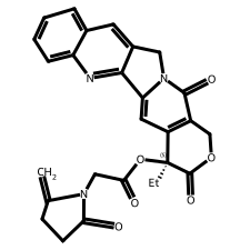 C=C1CCC(=O)N1CC(=O)O[C@]1(CC)C(=O)OCc2c1cc1n(c2=O)Cc2cc3ccccc3nc2-1